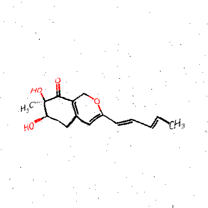 C/C=C/C=C/C1=CC2=C(CO1)C(=O)[C@](C)(O)[C@H](O)C2